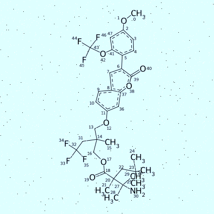 COc1ccc(-c2cc3ccc(OCC(C)(COC(=O)C(C)(CC(C)(C)C)C(C)(C)N)CC(F)(F)F)cc3oc2=O)c(OC(F)(F)F)c1